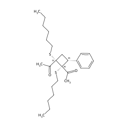 CCCCCCS[C@]1(C(C)=O)C[C@H](c2ccccc2)[C@@]1(SCCCCCC)C(C)=O